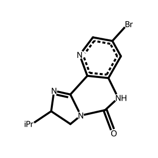 CC(C)C1CN2C(=O)Nc3cc(Br)cnc3C2=N1